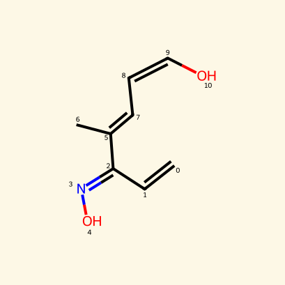 C=CC(=N\O)/C(C)=C/C=C\O